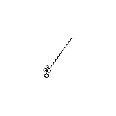 CCCCCCCCCCCCCCCCCCCCCC(=O)OC(=O)c1ccccc1